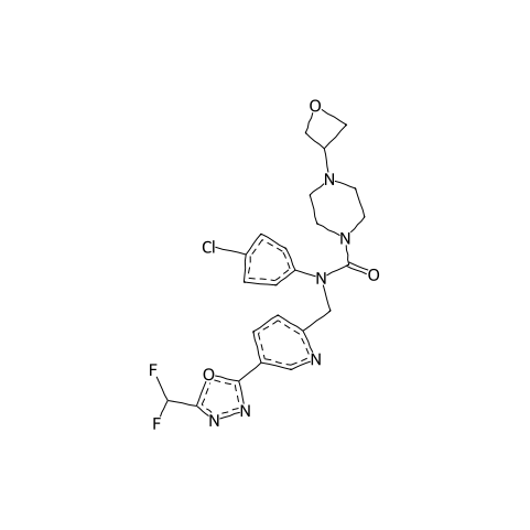 O=C(N1CCN(C2COC2)CC1)N(Cc1ccc(-c2nnc(C(F)F)o2)cn1)c1ccc(Cl)cc1